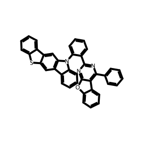 c1ccc(-c2nc(-c3ccccc3-n3c4ccccc4c4cc5sc6ccccc6c5cc43)nc3oc4ccccc4c23)cc1